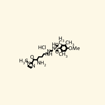 COc1cc(C)c(S(=O)(=O)NC=NNCCCC(N)C(=O)c2nccn2C)c(C)c1C.Cl